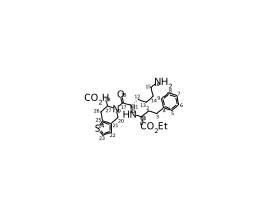 CCOC(=O)[C@H](CCc1ccccc1)N[C@@H](CCCCN)C(=O)N1Cc2ccsc2CC1C(=O)O